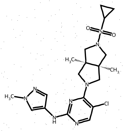 Cn1cc(Nc2ncc(Cl)c(N3C[C@@]4(C)CN(S(=O)(=O)C5CC5)C[C@@]4(C)C3)n2)cn1